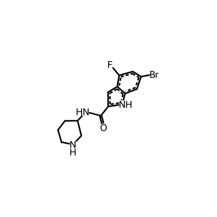 O=C(NC1CCCNC1)c1cc2c(F)cc(Br)cc2[nH]1